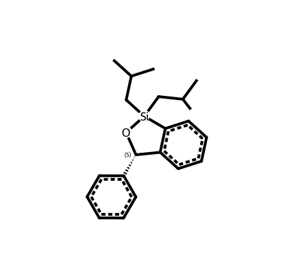 CC(C)C[Si]1(CC(C)C)O[C@@H](c2ccccc2)c2ccccc21